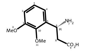 COc1cccc([C@H](N)CC(=O)O)c1OC